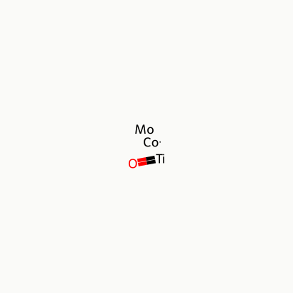 [Co].[Mo].[O]=[Ti]